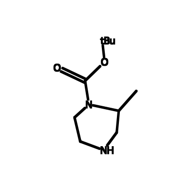 CC1CNCCN1C(=O)OC(C)(C)C